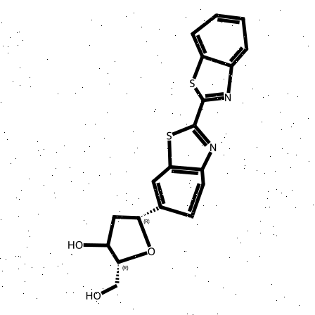 OC[C@H]1O[C@@H](c2ccc3nc(-c4nc5ccccc5s4)sc3c2)CC1O